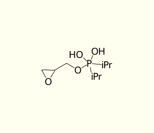 CC(C)P(O)(O)(OCC1CO1)C(C)C